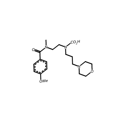 COc1ccc(C(=O)N(C)CCN(CCCN2CCOCC2)C(=O)O)cc1